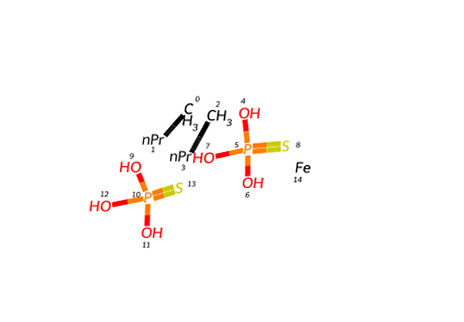 CCCC.CCCC.OP(O)(O)=S.OP(O)(O)=S.[Fe]